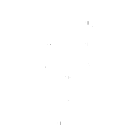 C=C(N)Cc1nc(C)nc(NCc2cccc(C(F)(F)F)c2F)c1C1OCCO1